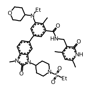 CCN(c1cc(-c2ccc3c(c2)n(C2CCN(S(=O)(=O)CC)CC2)c(=O)n3C)cc(C(=O)NCc2c(C)cc(C)[nH]c2=O)c1C)C1CCOCC1